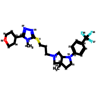 Cn1c(SCCCN2CC3N(c4ccc(C(F)(F)F)cc4)CCC3(C)C2)nnc1C1CCOCC1